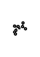 c1ccc(-c2cc(-c3ccccc3)cc(-n3ccc4c3ccc3c5ccccc5n(-c5ccc6c(ccc7ccccc76)c5)c34)c2)cc1